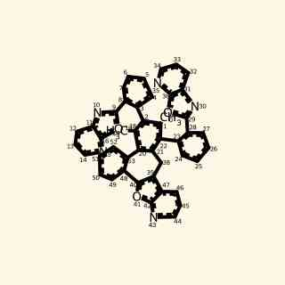 Cc1c(-c2ccccc2-c2nc3cccnc3o2)c(C)c2c(c1-c1ccccc1-c1nc3cccnc3o1)Cc1c(oc3ncccc13)-c1ccccc1-2